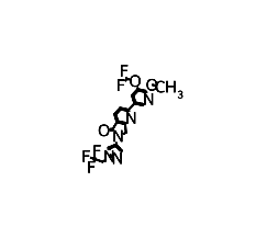 COc1ncc(-c2ccc3c(n2)CN(c2cnn(CC(F)(F)F)c2)C3=O)cc1OC(F)F